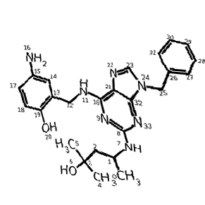 CC(CC(C)(C)O)Nc1nc(NCc2cc(N)ccc2O)c2ncn(Cc3ccccc3)c2n1